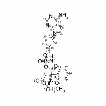 CON(OC)[C@@](CC(=O)O)(C(=O)OP(N)(=O)OC[C@H]1C=C[C@@H](n2cnc3c(N)ncnc32)C1)c1ccccc1